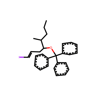 CCCC(C)C(C/C=C/I)OC(c1ccccc1)(c1ccccc1)c1ccccc1